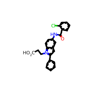 O=C(O)CCn1c(-c2ccccc2)cc2cc(NC(=O)c3ccccc3Cl)ccc21